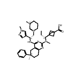 CC[C@@H](N(C)c1nc2c(c(N[C@@H](CN3CCC[C@H](C)C3)c3cnn(C)c3)n1)C[C@](C)(c1ccccc1)CC2)C12CC(C(=O)O)(C1)C2